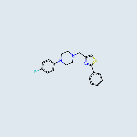 Fc1ccc(N2CCN(Cc3csc(-c4ccccc4)n3)CC2)cc1